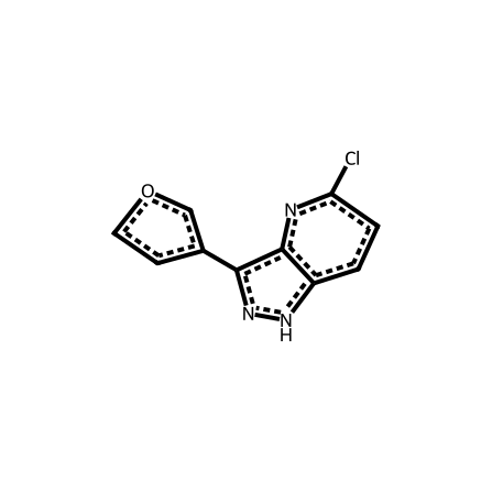 Clc1ccc2[nH]nc(-c3ccoc3)c2n1